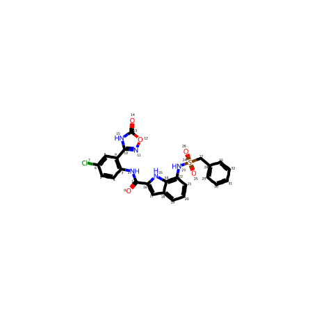 O=C(Nc1ccc(Cl)cc1-c1noc(=O)[nH]1)c1cc2cccc(NS(=O)(=O)Cc3ccccc3)c2[nH]1